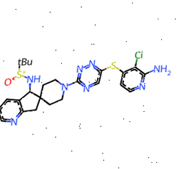 CC(C)(C)[S+]([O-])N[C@@H]1c2cccnc2CC12CCN(c1ncc(Sc3ccnc(N)c3Cl)nn1)CC2